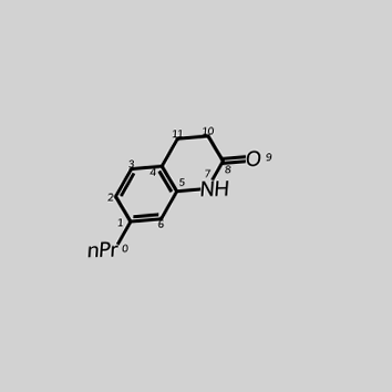 CCCc1ccc2c(c1)NC(=O)CC2